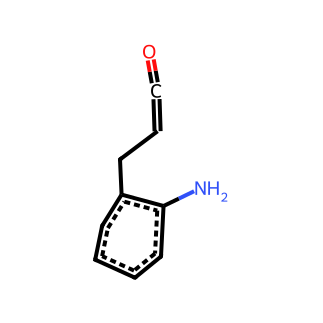 Nc1ccccc1CC=C=O